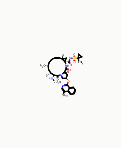 CC[C@@H]1C[C@H](C)CCC=C[C@@H]2C[C@@]2(C(=O)NS(=O)(=O)C2(C)CC2)NC(=O)[C@@H]2C[C@@H](Oc3ncc(OC)c4ccccc34)CN2C(=O)[C@H]1NC(=O)O